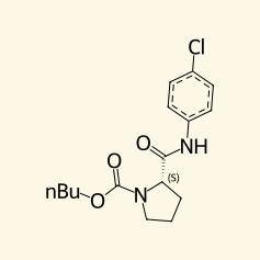 CCCCOC(=O)N1CCC[C@H]1C(=O)Nc1ccc(Cl)cc1